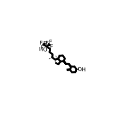 C=C1CC[C@H](O)C/C1=C/C=C1CCC[C@@]2(C)C1CC[C@@H]2[C@H](C)CCCC(O)(C(F)(F)F)C(F)(F)F